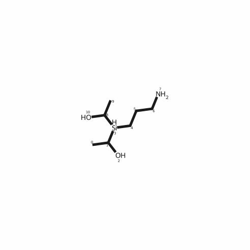 CC(O)[SiH](CCCN)C(C)O